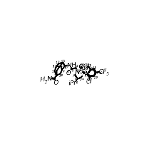 CC(C)C1CN(CC(=O)NC2C3CC4CC2CC(C(N)=O)(C4)C3)S(=O)(=O)N(c2c(Cl)cc(C(F)(F)F)cc2Cl)C1